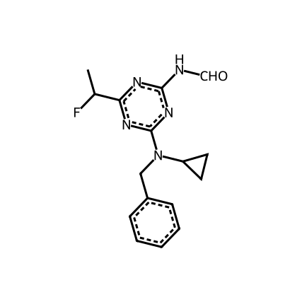 CC(F)c1nc(NC=O)nc(N(Cc2ccccc2)C2CC2)n1